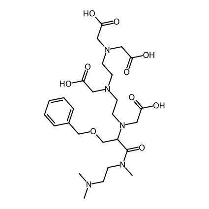 CN(C)CCN(C)C(=O)C(COCc1ccccc1)N(CCN(CCN(CC(=O)O)CC(=O)O)CC(=O)O)CC(=O)O